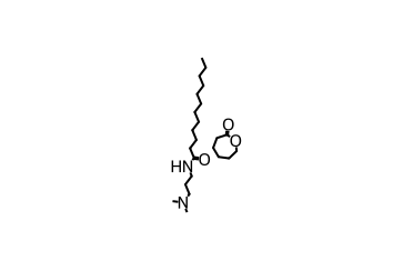 CCCCCCCCCCCC(=O)NCCCN(C)C.O=C1CCCCCO1